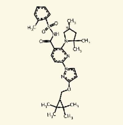 Cc1ccccc1S(=O)(=O)NC(=O)c1ccc(-n2ccc(OCC3C(C)(C)C3(C)C)n2)nc1N1C[C@@H](C)CC1(C)C